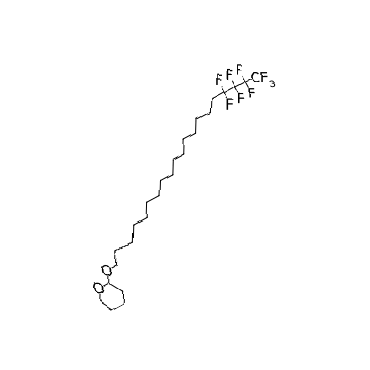 FC(F)(F)C(F)(F)C(F)(F)C(F)(F)CCCCCCCCCCCCCCCCOC1CCCCO1